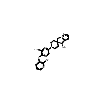 Nc1nc(N2CCC3(CC2)Cn2nccc2[C@H]3N)cnc1Sc1cccnc1C(F)(F)F